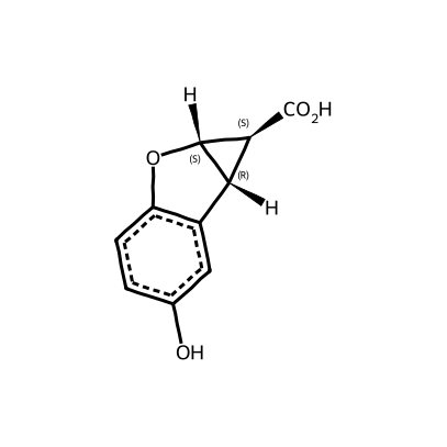 O=C(O)[C@@H]1[C@H]2Oc3ccc(O)cc3[C@H]21